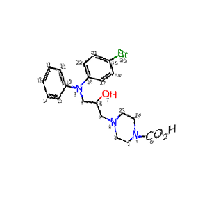 O=C(O)N1CCN(CC(O)CN(c2ccccc2)c2ccc(Br)cc2)CC1